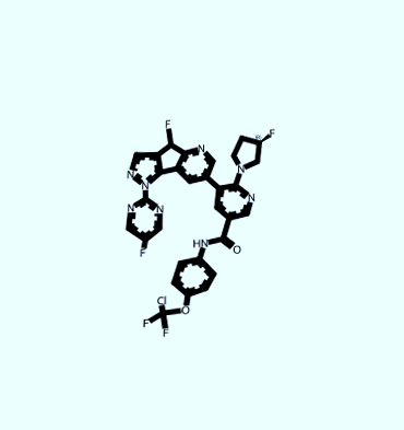 O=C(Nc1ccc(OC(F)(F)Cl)cc1)c1cnc(N2CC[C@@H](F)C2)c(-c2cnc3c(c2)-c2c(cnn2-c2ncc(F)cn2)C3F)c1